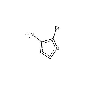 O=[N+]([O-])c1ccoc1Br